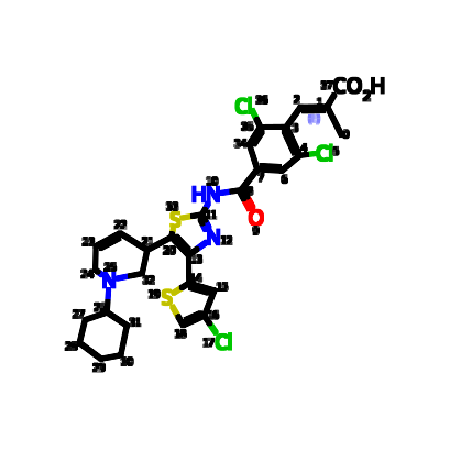 C/C(=C\c1c(Cl)cc(C(=O)Nc2nc(-c3cc(Cl)cs3)c(C3C=CCN(C4CCCCC4)C3)s2)cc1Cl)C(=O)O